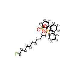 CS(=O)(=O)OP(CCCCCCCCCCCF)(c1ccccc1)(c1ccccc1)c1ccccc1